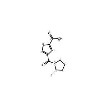 C[C@H]1CCCN1C(=O)c1csc(C(=O)O)n1